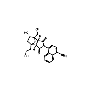 CC[C@@]12OC(CCO)(C[C@@H]1O)[C@H]1C(=O)N(c3ccc(C#N)c4ccccc34)C(=O)[C@H]12